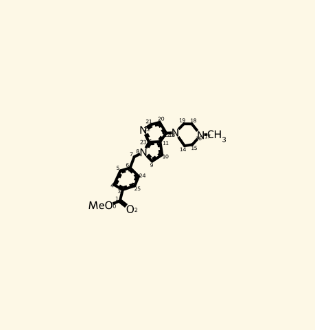 COC(=O)c1ccc(Cn2ccc3c(N4CCN(C)CC4)ccnc32)cc1